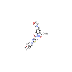 COC(=O)c1cc(CN2CCOCC2)ccc1NC(=O)c1csc(N2CCC3(CCCO3)CC2)n1